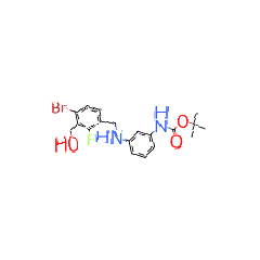 CC(C)(C)OC(=O)Nc1cccc(NCc2ccc(Br)c(CO)c2F)c1